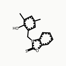 Cc1cc(C)c(O)c(Cn2c(=S)oc3ccccc32)c1